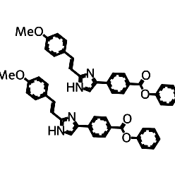 COc1ccc(/C=C/c2nc(-c3ccc(C(=O)Oc4ccccc4)cc3)c[nH]2)cc1.COc1ccc(/C=C/c2nc(-c3ccc(C(=O)Oc4ccccc4)cc3)c[nH]2)cc1